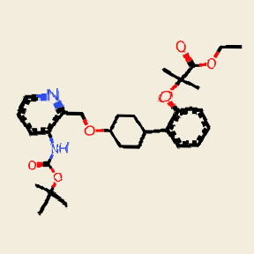 CCOC(=O)C(C)(C)Oc1ccccc1C1CCC(OCc2ncccc2NC(=O)OC(C)(C)C)CC1